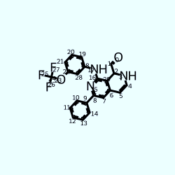 O=CC1NC=Cc2cc(-c3ccccc3)nc(Nc3cccc(OC(F)(F)F)c3)c21